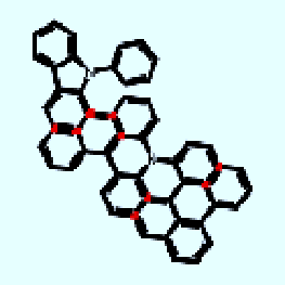 c1ccc(-c2cccc3cccc(-c4ccccc4N(c4cccc(-c5cccc6c7ccccc7n(-c7ccccc7)c56)c4)c4ccccc4-c4cccc5ccccc45)c23)cc1